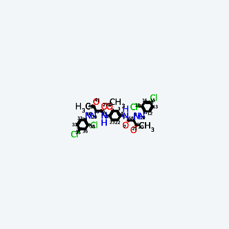 COc1cc(NC(=O)C(N=Nc2ccc(Cl)cc2Cl)C(C)=O)ccc1NC(=O)C(N=Nc1ccc(Cl)cc1Cl)C(C)=O